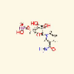 NC(=O)C1=CN([C@@H]2O[C@H](CO[PH](=O)O)C(O)C2O)C=CC1